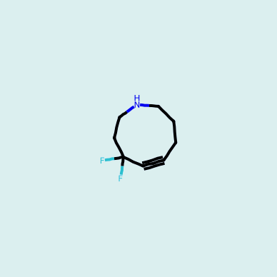 FC1(F)C#CCCCNCC1